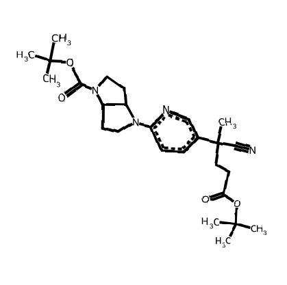 CC(C)(C)OC(=O)CCC(C)(C#N)c1ccc(N2CCC3C2CCN3C(=O)OC(C)(C)C)nc1